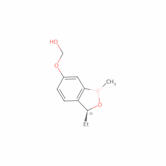 CC[C@@H]1OB(C)c2cc(OCO)ccc21